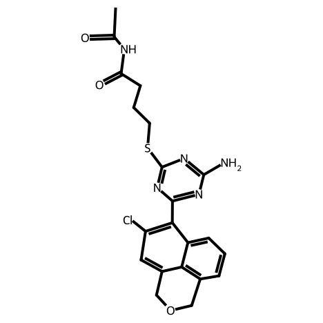 CC(=O)NC(=O)CCCSc1nc(N)nc(-c2c(Cl)cc3c4c(cccc24)COC3)n1